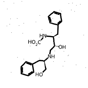 O=C(O)N[C@@H](Cc1ccccc1)[C@H](O)CN[C@@H](CO)Cc1ccccc1